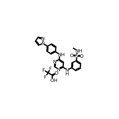 CNS(=O)(=O)c1cccc(Nc2cc(Nc3ccc(-n4cccn4)cc3)ncn2)c1.O=C(O)C(F)(F)F